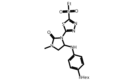 CCCCCCc1ccc(NC2CN(C)C(=O)N2c2nnc(S(=O)(=O)CC)s2)cc1